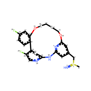 CS(=N)Cc1cc2nc(c1)OCCCCOc1cc(F)ccc1-c1cc(ncc1F)N2